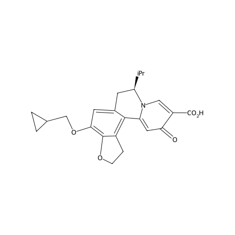 CC(C)[C@@H]1Cc2cc(OCC3CC3)c3c(c2-c2cc(=O)c(C(=O)O)cn21)CCO3